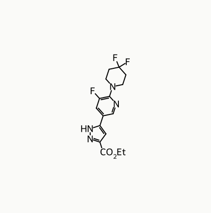 CCOC(=O)c1cc(-c2cnc(N3CCC(F)(F)CC3)c(F)c2)[nH]n1